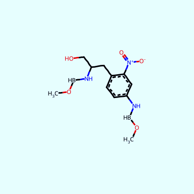 COBNc1ccc(CC(CO)NBOC)c([N+](=O)[O-])c1